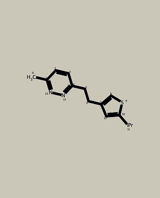 Cc1ccc(CCc2csc(C(C)C)c2)nn1